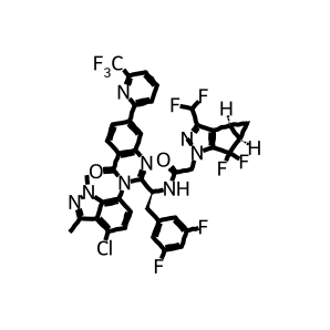 Cc1nn(C)c2c(-n3c([C@H](Cc4cc(F)cc(F)c4)NC(=O)Cn4nc(C(F)F)c5c4C(F)(F)[C@@H]4C[C@H]54)nc4cc(-c5cccc(C(F)(F)F)n5)ccc4c3=O)ccc(Cl)c12